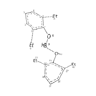 CCc1cccc(CC)c1OBOc1c(CC)cccc1CC